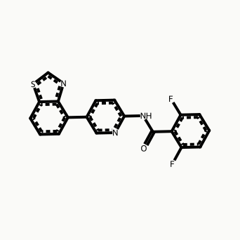 O=C(Nc1ccc(-c2cccc3scnc23)cn1)c1c(F)cccc1F